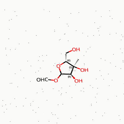 C[C@@]1(O)[C@@H](CO)OC(OC=O)[C@@H]1O